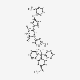 COc1ccc(C(OC[C@H]2O[C@@H](n3cc(-c4cn(Cc5ccccc5C)nn4)c(=O)[nH]c3=O)C[C@@H]2O)(c2ccccc2)c2ccccc2)cc1